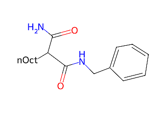 CCCCCCCCC(C(N)=O)C(=O)NCc1ccccc1